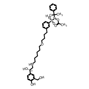 CC(=O)ON(C(C)(C)c1ccccc1)S(=O)(=O)c1cccc(CCCCOCCCCCCNC[C@@H](O)c2ccc(O)c(CO)c2)c1